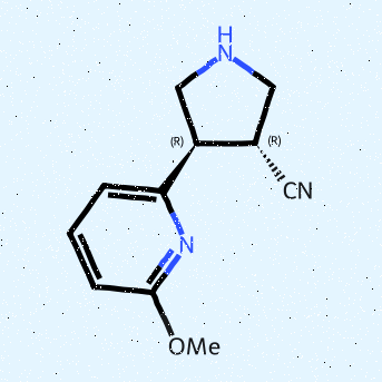 COc1cccc([C@H]2CNC[C@@H]2C#N)n1